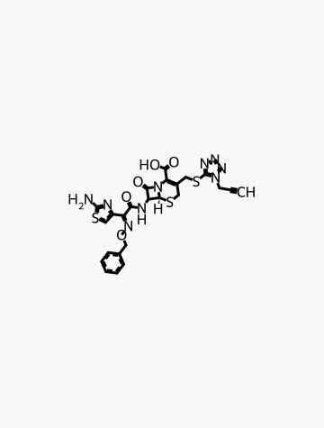 C#CCn1nnnc1SCC1=C(C(=O)O)N2C(=O)C(NC(=O)C(=NOCc3ccccc3)c3csc(N)n3)[C@@H]2SC1